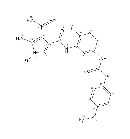 CCn1nc(C(=O)Nc2cc(NC(=O)Cc3ccc(OC(F)(F)F)cc3)cnc2F)c(C(N)=O)c1N